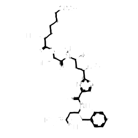 CNCCCC[C@@H](C)C(=O)N[C@H](C(=O)N(C)[C@H](C[C@@H](OC(C)=O)c1nc(C(=O)N[C@@H](Cc2ccccc2)C[C@H](C)C(=O)O)cs1)C(C)C)C(C)C